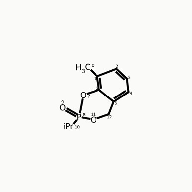 Cc1cccc2c1OP(=O)(C(C)C)OC2